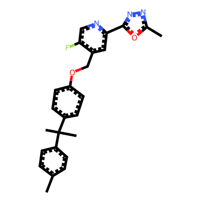 Cc1ccc(C(C)(C)c2ccc(OCc3cc(-c4nnc(C)o4)ncc3F)cc2)cc1